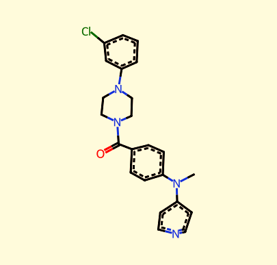 CN(c1ccncc1)c1ccc(C(=O)N2CCN(c3cccc(Cl)c3)CC2)cc1